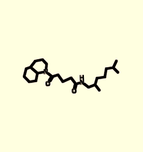 CC(C)CCCC(C)CNC(=O)CCCC(=O)N1CCCC2CCCCC21